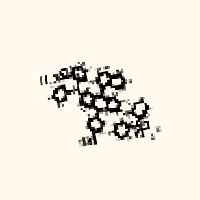 CC(C)(C)c1ccc(-c2c3cc(N4c5ccccc5[Si](C)(C)c5ccccc54)ccc3c(-c3cccc4ccccc34)c3cc(N4c5ccccc5[Si](C)(C)c5ccccc54)ccc23)cc1